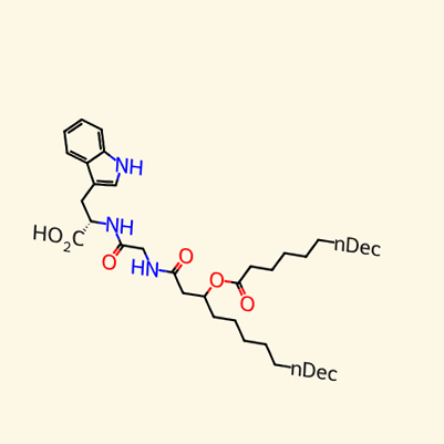 CCCCCCCCCCCCCCCC(=O)OC(CCCCCCCCCCCCCCC)CC(=O)NCC(=O)N[C@@H](Cc1c[nH]c2ccccc12)C(=O)O